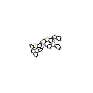 c1ccc2c(c1)Sc1ccccc1C21c2cc(N(c3ccc4c5ccccc5n(-c5cccc6ccccc56)c4c3)c3cccc4sc5ccccc5c34)ccc2-c2cccc3cccc1c23